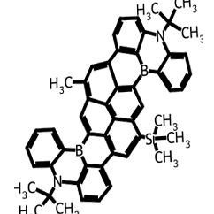 Cc1cc2c3c(cc4c([Si](C)(C)C)cc5c6c(cc1c3c46)B1c3ccccc3N(C(C)(C)C)c3cccc-5c31)B1c3ccccc3N(C(C)(C)C)c3cccc-2c31